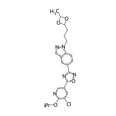 CC(C)Oc1ncc(-c2nc(-c3ccc4c(cnn4CCCC4OC(C)O4)c3)no2)cc1Cl